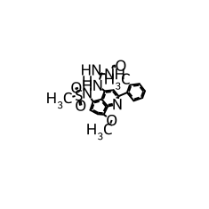 COc1ccc(NS(C)(=O)=O)c2c(NC(=N)NC=O)cc(-c3ccccc3C)nc12